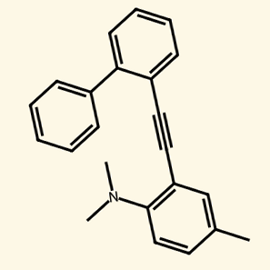 Cc1ccc(N(C)C)c(C#Cc2ccccc2-c2ccccc2)c1